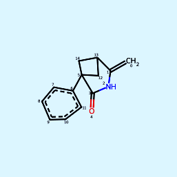 C=C1NC(=O)C2(c3ccccc3)CC1C2